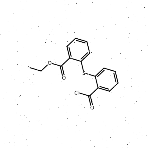 CCOC(=O)c1ccccc1Sc1ccccc1C(=O)Cl